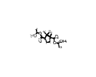 CC(O)OC(=O)C1CCC(C)(C(=O)OC(C)O)C1(C)C